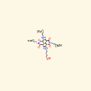 COCCCNc1cc2c3c(c(NCCCCCO)cc4c3c1C(=O)N(CCCOC)C4=O)C(=O)N(CCCOC)C2=O